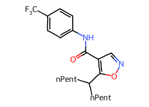 CCCCCC(CCCCC)c1oncc1C(=O)Nc1ccc(C(F)(F)F)cc1